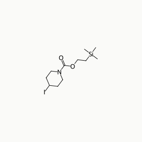 C[Si](C)(C)CCOC(=O)N1CCC(I)CC1